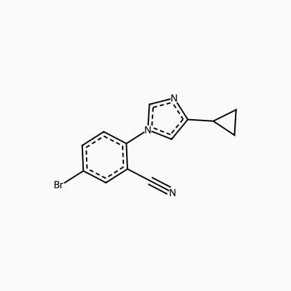 N#Cc1cc(Br)ccc1-n1cnc(C2CC2)c1